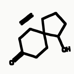 C=C.O=C1CCC2(CCCC2O)CC1